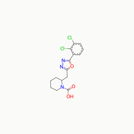 O=C(O)N1CCCCC1Cc1nnc(-c2cccc(Cl)c2Cl)o1